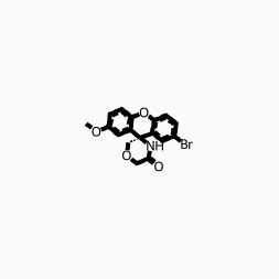 COc1ccc2c(c1)[C@@]1(COCC(=O)N1)c1cc(Br)ccc1O2